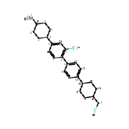 CCCCC1CCC(c2ccc(-c3ccc(C4CCC(CF)CC4)cc3)c(F)c2)CC1